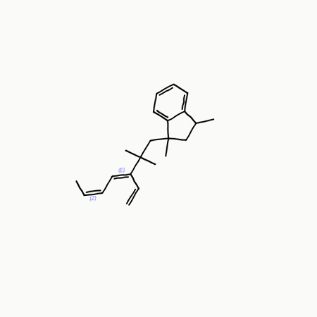 C=C/C(=C\C=C/C)C(C)(C)CC1(C)CC(C)c2ccccc21